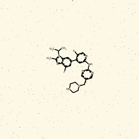 Cc1nc2c(F)cc(-c3cc(Nc4ncc(CN5CCNCC5)cn4)ncc3F)cc2n1C(C)C